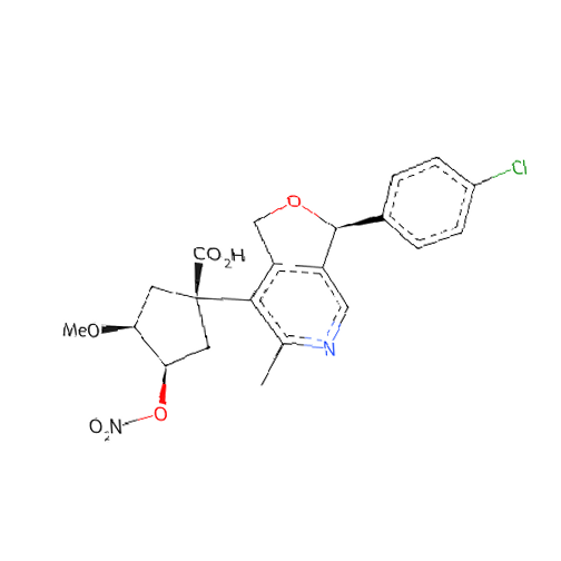 CO[C@H]1C[C@](C(=O)O)(c2c(C)ncc3c2CO[C@H]3c2ccc(Cl)cc2)C[C@H]1O[N+](=O)[O-]